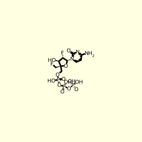 Nc1ccn([C@@H]2O[C@](CF)(COP(=O)(O)OP(=O)(O)OP(=O)(O)O)[C@@H](O)[C@@H]2F)c(=O)n1